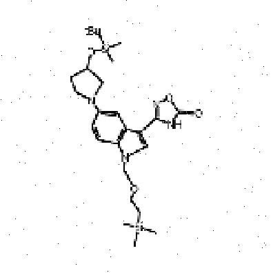 CC(C)(C)[Si](C)(C)OC1CCN(c2ccc3c(c2)c(-c2noc(=O)[nH]2)cn3COCC[Si](C)(C)C)C1